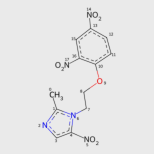 Cc1ncc([N+](=O)[O-])n1CCOc1ccc([N+](=O)[O-])cc1[N+](=O)[O-]